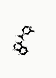 CC1CN(C(=O)OC2=NCNc3ncccc32)CCN1